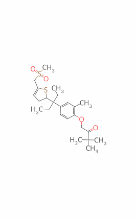 CCC(CC)(c1ccc(OCC(=O)C(C)(C)C)c(C)c1)C1CC=C(CS(C)(=O)=O)S1